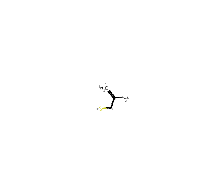 C=C(CC)C[S]